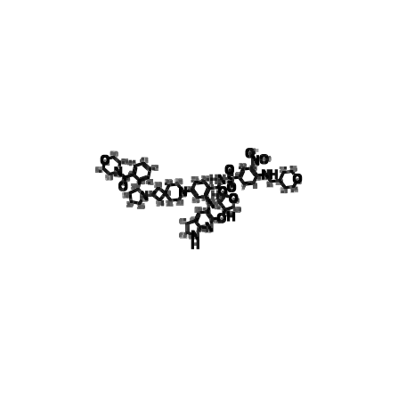 O=C(NS(=O)(=O)c1ccc(NCC2CCOCC2)c([N+](=O)[O-])c1)c1ccc(N2CCC3(CC2)CC(N2CCC[C@H]2c2ccccc2C(=O)N2CCOCC2)C3)cc1N1c2cc3cc[nH]c3nc2O[C@@H]2COC[C@H]21